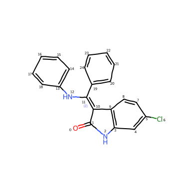 O=C1Nc2cc(Cl)ccc2/C1=C(/Nc1ccccc1)c1ccccc1